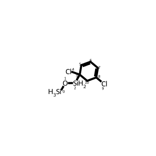 [SiH3]O[SiH2]C1(Cl)C=CC=C(Cl)C1